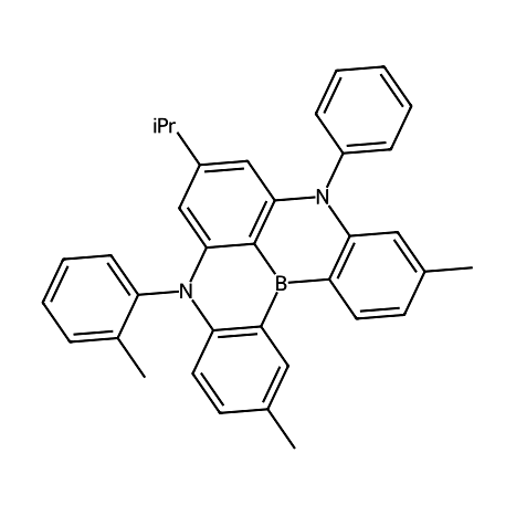 Cc1ccc2c(c1)B1c3ccc(C)cc3N(c3ccccc3)c3cc(C(C)C)cc(c31)N2c1ccccc1C